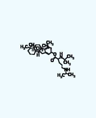 Cc1cc(OC(=O)C(CCCNC(C)C)NC(C)C)cc2c1[C@]1(C)CC[C@H]3C(C)(C)CCC[C@]3(C)[C@H]1C2